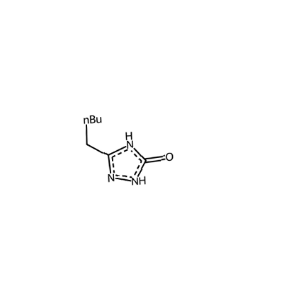 CCCCCc1n[nH]c(=O)[nH]1